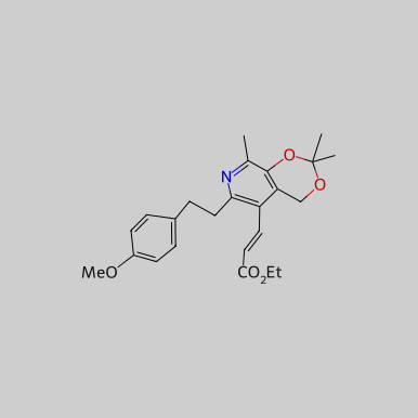 CCOC(=O)/C=C/c1c(CCc2ccc(OC)cc2)nc(C)c2c1COC(C)(C)O2